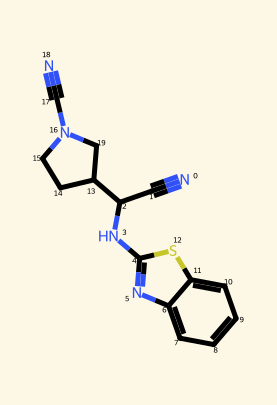 N#CC(Nc1nc2ccccc2s1)C1CCN(C#N)C1